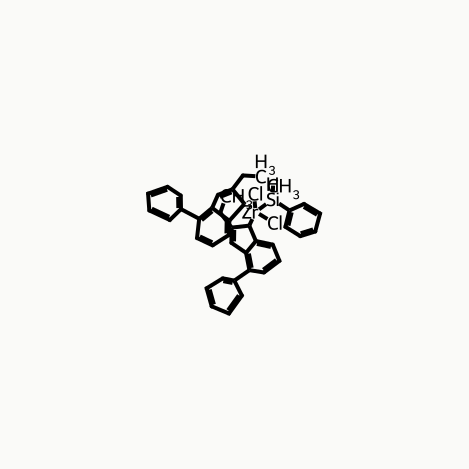 CCC1=Cc2c(-c3ccccc3)cccc2[CH]1[Zr]([Cl])([Cl])([CH]1C(CC)=Cc2c(-c3ccccc3)cccc21)[SiH](C)c1ccccc1